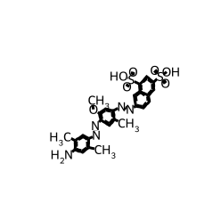 COc1cc(N=Nc2ccc3cc(S(=O)(=O)O)cc(S(=O)(=O)O)c3c2)c(C)cc1N=Nc1cc(C)c(N)cc1C